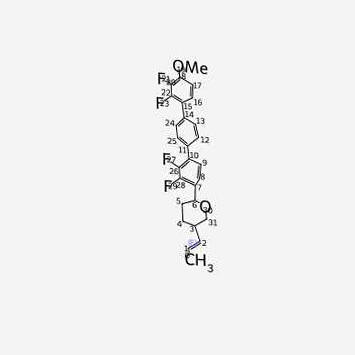 C/C=C/C1CCC(c2ccc(-c3ccc(-c4ccc(OC)c(F)c4F)cc3)c(F)c2F)OC1